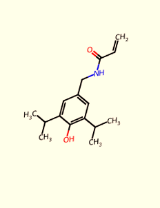 C=CC(=O)NCc1cc(C(C)C)c(O)c(C(C)C)c1